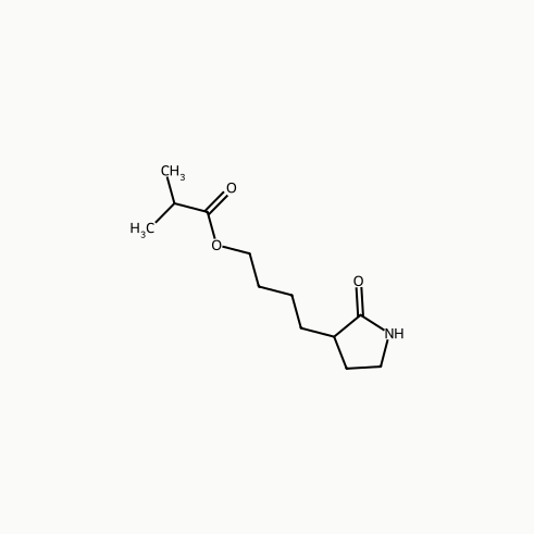 CC(C)C(=O)OCCCCC1CCNC1=O